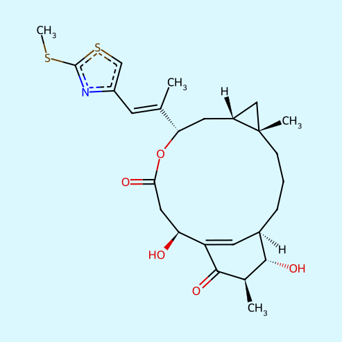 CSc1nc(/C=C(\C)[C@@H]2C[C@@H]3C[C@]3(C)CCC[C@@H]3C=C(C(=O)[C@H](C)[C@H]3O)[C@@H](O)CC(=O)O2)cs1